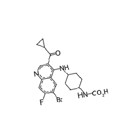 O=C(O)NC1CCC(Nc2c(C(=O)C3CC3)cnc3cc(F)c(Br)cc23)CC1